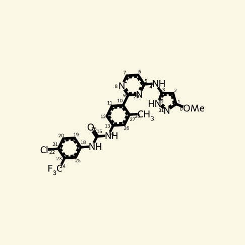 COc1cc(Nc2ccnc(-c3ccc(NC(=O)Nc4ccc(Cl)c(C(F)(F)F)c4)cc3C)n2)[nH]n1